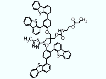 C=CC(=O)OCCNC(=O)OCC(COc1ccc(-c2cccc3c2sc2ccccc23)cc1-c1cccc2c1sc1ccccc12)(COc1ccc(-c2cccc3c2sc2ccccc23)cc1-c1cccc2c1sc1ccccc12)CSc1nnc(C)s1